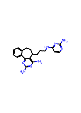 Nc1nccc(NCCCC2CCc3ccccc3-c3nc(N)nc(N)c32)n1